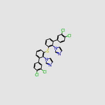 Clc1ccc(-c2cccc(Sc3cccc(-c4ccc(Cl)c(Cl)c4)c3-n3ccnc3)c2-n2ccnc2)cc1Cl